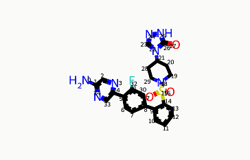 Nc1cnc(-c2ccc(-c3ccccc3S(=O)(=O)N3CCC(n4cn[nH]c4=O)CC3)cc2F)cn1